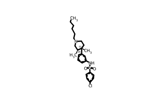 CCCCCCN1CC[C@](C)(c2cccc(NS(=O)(=O)c3ccc(Cl)cc3)c2)[C@@H](C)C1